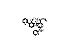 COc1c(Nc2nc(Nc3ccccn3)ncc2C(N)=O)cccc1-c1ccccn1